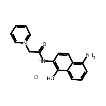 Nc1cccc2c(O)c(NC(=O)C[n+]3ccccc3)ccc12.[Cl-]